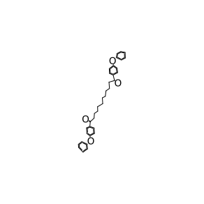 O=C(CCCCCCCCCCC(=O)c1ccc(Oc2ccccc2)cc1)c1ccc(Oc2ccccc2)cc1